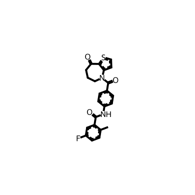 Cc1ccc(F)cc1C(=O)Nc1ccc(C(=O)N2CCCC(=O)c3sccc32)cc1